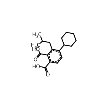 CC(C)Cc1c(C2CCCCC2)ccc(C(=O)O)c1C(=O)O